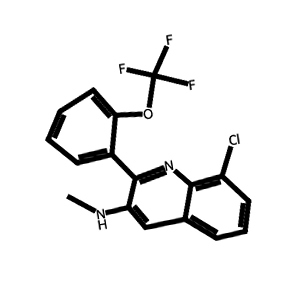 CNc1cc2cccc(Cl)c2nc1-c1ccccc1OC(F)(F)F